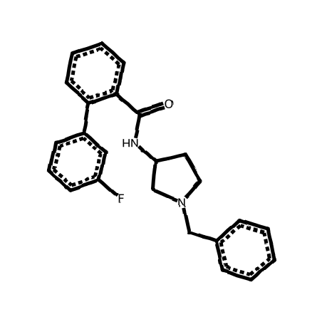 O=C(NC1CCN(Cc2ccccc2)C1)c1ccccc1-c1cccc(F)c1